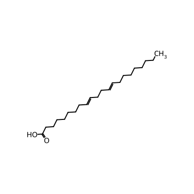 CCCCCCCCC=CCCC=CCCCCCCCC(=O)O